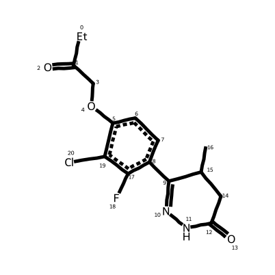 CCC(=O)COc1ccc(C2=NNC(=O)CC2C)c(F)c1Cl